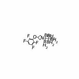 BC(B)(B)C(B)(B)N1CC(Oc2c(F)c(F)cc(F)c2F)C1